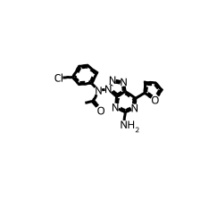 CC(=O)N(c1cccc(Cl)c1)n1nnc2c(-c3ccco3)nc(N)nc21